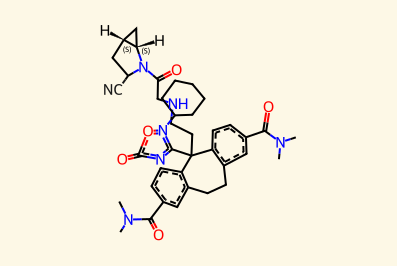 CN(C)C(=O)c1ccc2c(c1)CCc1cc(C(=O)N(C)C)ccc1C2(CCNCC(=O)N1C(C#N)C[C@@H]2C[C@@H]21)c1nc(=O)on1C1CCCCC1